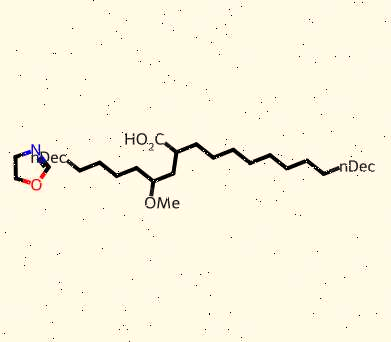 C1=NCCO1.CCCCCCCCCCCCCCCCCCC(CC(CCCCCCCCCCCCCC)OC)C(=O)O